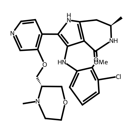 COc1c(Cl)cccc1Nc1c(-c2ccncc2OC[C@@H]2COCCN2C)[nH]c2c1C(=O)N[C@H](C)C2